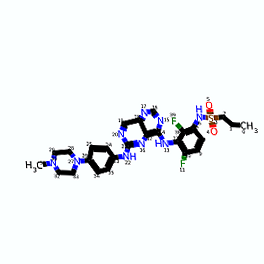 CCCS(=O)(=O)Nc1ccc(F)c(Nc2ncnc3cnc(Nc4ccc(N5CCN(C)CC5)cc4)nc23)c1F